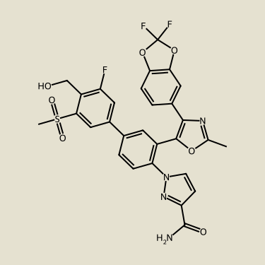 Cc1nc(-c2ccc3c(c2)OC(F)(F)O3)c(-c2cc(-c3cc(F)c(CO)c(S(C)(=O)=O)c3)ccc2-n2ccc(C(N)=O)n2)o1